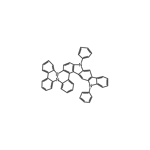 c1ccc(-n2c3ccccc3c3cc4c(cc32)c2c3c(ccc2n4-c2ccccc2)B2c4ccccc4-c4ccccc4N2c2ccccc2-3)cc1